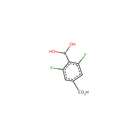 O=C(O)c1cc(F)c(B(O)O)c(F)c1